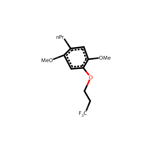 CCCc1cc(OC)c(OCCC(F)(F)F)cc1OC